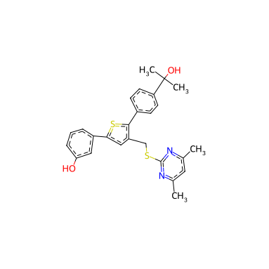 Cc1cc(C)nc(SCc2cc(-c3cccc(O)c3)sc2-c2ccc(C(C)(C)O)cc2)n1